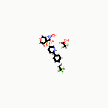 O=C(NO)C1(S(=O)(=O)c2ccc(-c3ccc(OCC(F)(F)F)cc3)nc2)CCOCC1.O=C(O)C(F)(F)F